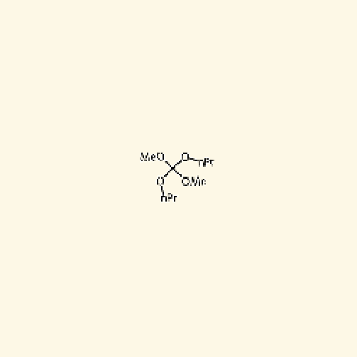 CCCOC(OC)(OC)OCCC